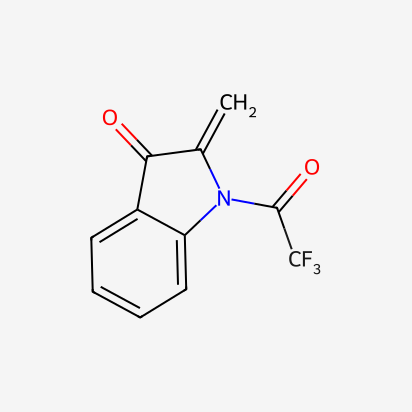 C=C1C(=O)c2ccccc2N1C(=O)C(F)(F)F